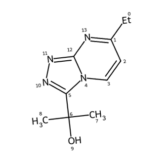 CCc1ccn2c(C(C)(C)O)nnc2n1